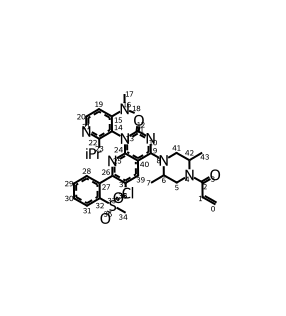 C=CC(=O)N1CC(C)N(c2nc(=O)n(-c3c(N(C)C)ccnc3C(C)C)c3nc(-c4ccccc4S(C)(=O)=O)c(Cl)cc23)CC1C